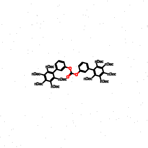 CCCCCCCCCCc1c(CCCCCCCCCC)c(CCCCCCCCCC)c(-c2cccc(OC(=O)Oc3cccc(-c4c(CCCCCCCCCC)c(CCCCCCCCCC)c(CCCCCCCCCC)c(CCCCCCCCCC)c4CCCCCCCCCC)c3)c2)c(CCCCCCCCCC)c1CCCCCCCCCC